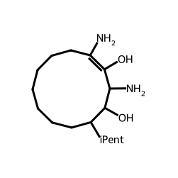 CCCC(C)C1CCCCCCC/C(N)=C(/O)C(N)C1O